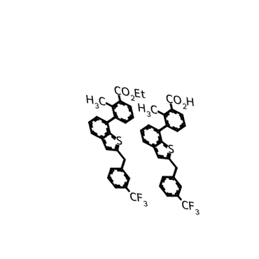 CCOC(=O)c1cccc(-c2cccc3cc(Cc4cccc(C(F)(F)F)c4)sc23)c1C.Cc1c(C(=O)O)cccc1-c1cccc2cc(Cc3cccc(C(F)(F)F)c3)sc12